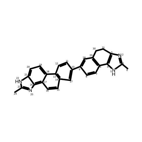 Cc1nc2c([nH]1)-c1ccc(-c3ccc4c(ccc5c4ccc4[nH]c(C)nc45)c3)cc1CC2